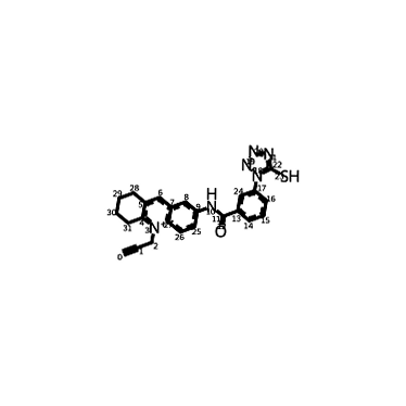 C#CC[n+]1c2c(cc3cc(NC(=O)c4cccc(-n5nnnc5S)c4)ccc31)CCCC2